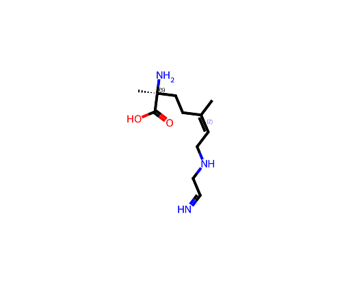 C/C(=C/CNCC=N)CC[C@](C)(N)C(=O)O